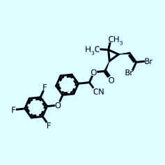 CC1(C)[C@H](C(=O)OC(C#N)c2cccc(Oc3c(F)cc(F)cc3F)c2)[C@@H]1C=C(Br)Br